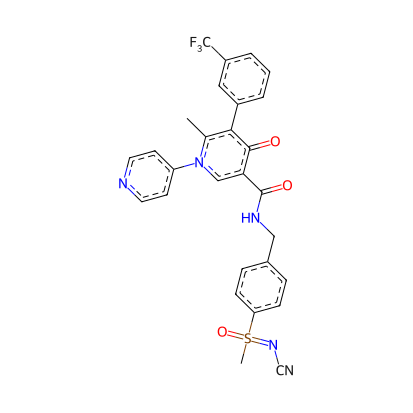 Cc1c(-c2cccc(C(F)(F)F)c2)c(=O)c(C(=O)NCc2ccc(S(C)(=O)=NC#N)cc2)cn1-c1ccncc1